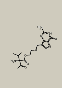 CC(=O)C(N)(C(=O)OCCOCn1cnc2c(=O)[nH]c(N)nc21)C(C)C